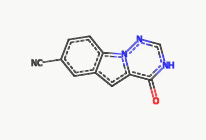 N#Cc1ccc2c(c1)cc1c(=O)[nH]cnn12